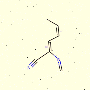 C=N/C(C#N)=C\C=C/C